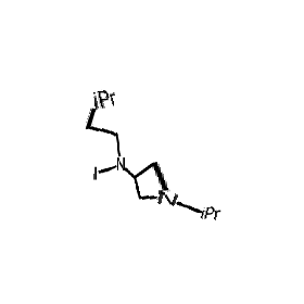 CC(C)CCN(I)C1CN(C(C)C)C1